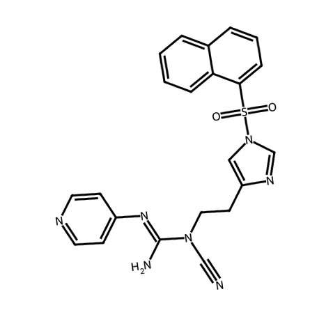 N#CN(CCc1cn(S(=O)(=O)c2cccc3ccccc23)cn1)C(N)=Nc1ccncc1